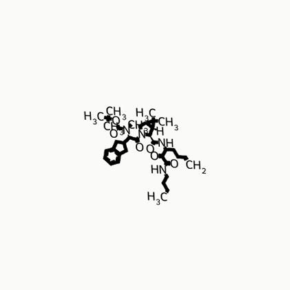 C=CCCC(NC(=O)[C@@H]1[C@@H]2C(CN1C(=O)[C@H](C1Cc3ccccc3C1)N(C)C(=O)OC(C)(C)C)C2(C)C)C(=O)C(=O)NCCCC